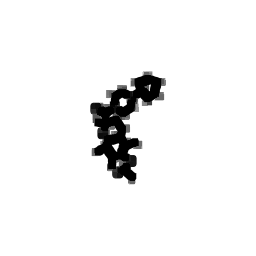 CC(=O)Oc1c(C)c(C)c2c(c1C)CCC(C)(C(=O)N1CCN(c3ccccc3)CC1)O2